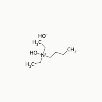 CCCC[N+](O)(CC)CC.[OH-]